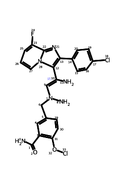 NC(=O)c1cc(CN(N)/C=C(\N)c2c(-c3ccc(Cl)cc3)nc3c(F)cccn23)ccc1OCl